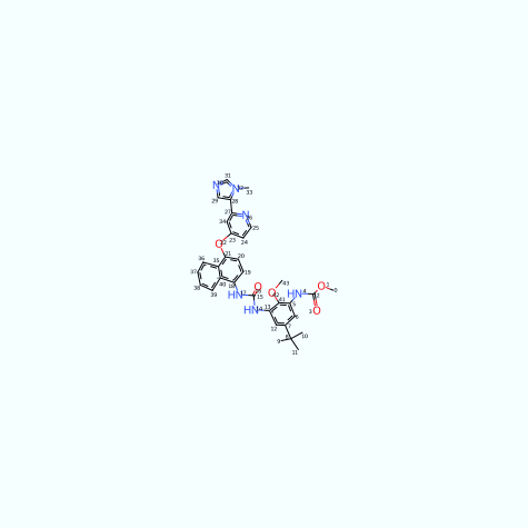 COC(=O)Nc1cc(C(C)(C)C)cc(NC(=O)Nc2ccc(Oc3ccnc(-c4cncn4C)c3)c3ccccc23)c1OC